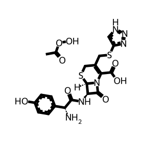 CC(=O)OO.N[C@@H](C(=O)N[C@@H]1C(=O)N2C(C(=O)O)=C(CSc3c[nH]nn3)CS[C@H]12)c1ccc(O)cc1